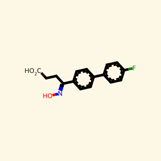 O=C(O)CCC(=NO)c1ccc(-c2ccc(F)cc2)cc1